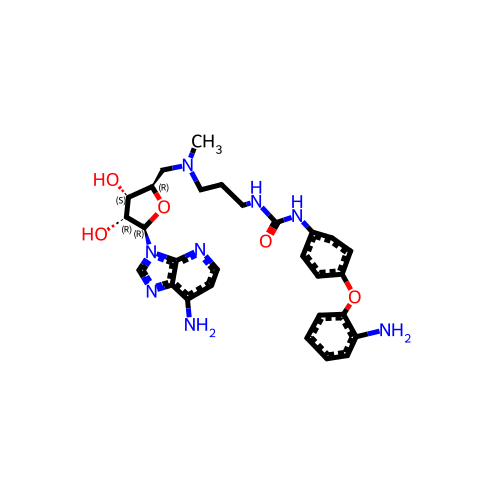 CN(CCCNC(=O)Nc1ccc(Oc2ccccc2N)cc1)C[C@H]1O[C@@H](n2cnc3c(N)ccnc32)[C@H](O)[C@@H]1O